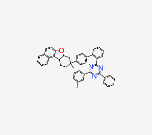 Cc1cccc(-c2nc(-c3ccccc3)nc(-c3ccccc3-c3ccc(C4(C)CCC5c6c(ccc7ccccc67)OC5C4)cc3)n2)c1